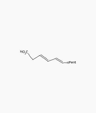 CCCCC/C=C/C=C/CC(=O)O